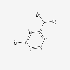 CCC(CC)c1cccc(Cl)n1